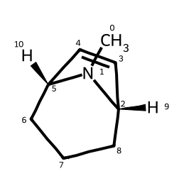 CN1[C@@H]2C=C[C@H]1C[CH]C2